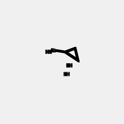 [CH2]CC1CC1.[KH].[KH].[KH]